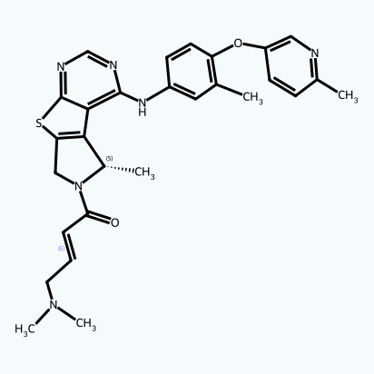 Cc1ccc(Oc2ccc(Nc3ncnc4sc5c(c34)[C@H](C)N(C(=O)/C=C/CN(C)C)C5)cc2C)cn1